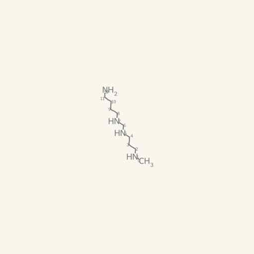 CNCCCNCNCCCCN